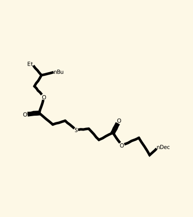 CCCCCCCCCCCCOC(=O)CCSCCC(=O)OCC(CC)CCCC